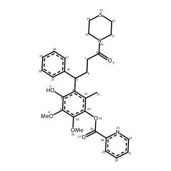 COc1c(O)c(C(CCC(=O)N2CCSCC2)c2ccccc2)c(C)c(OC(=O)c2ccccn2)c1OC